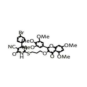 COc1cc(OC)c2c(=O)c(OCCCSc3nc(-c4ccc(Br)cc4)c(C#N)c(=O)[nH]3)c(-c3cc(OC)c(OC)c(OC)c3)oc2c1